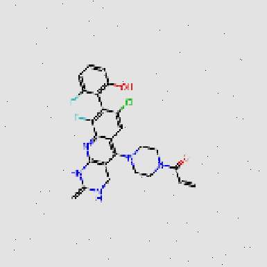 C=CC(=O)N1CCN(c2c3c(nc4c(F)c(-c5c(O)cccc5F)c(Cl)cc24)NC(=C)NC3)CC1